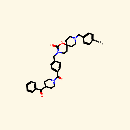 O=C(c1ccccc1)C1CCN(C(=O)c2ccc(CN3CCC4(CCN(Cc5ccc(C(F)(F)F)cc5)CC4)OC3=O)cc2)CC1